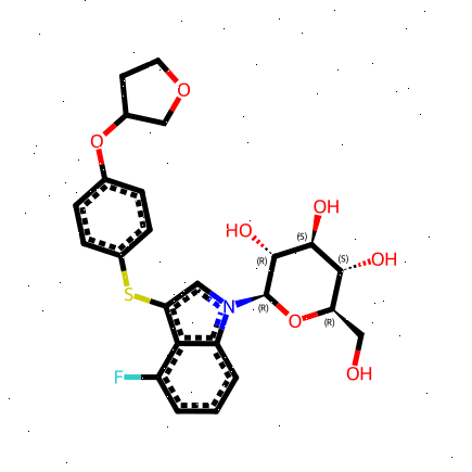 OC[C@H]1O[C@@H](n2cc(Sc3ccc(OC4CCOC4)cc3)c3c(F)cccc32)[C@H](O)[C@@H](O)[C@@H]1O